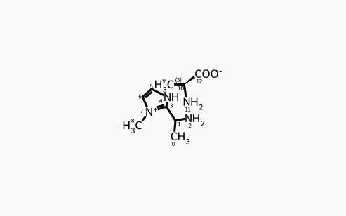 CC(N)c1[nH]cc[n+]1C.C[C@H](N)C(=O)[O-]